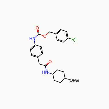 COC1CCC(NC(=O)Cc2ccc(NC(=O)OCc3ccc(Cl)cc3)cc2)CC1